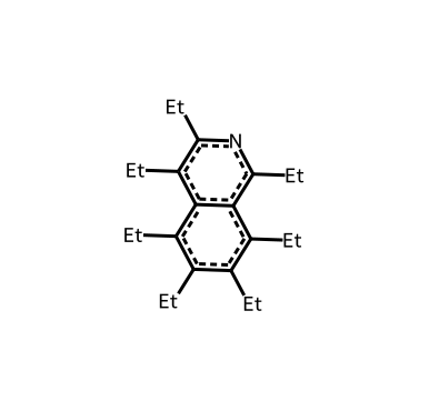 CCc1nc(CC)c2c(CC)c(CC)c(CC)c(CC)c2c1CC